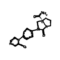 NC(=O)[C@]12[CH]CCN1C(=O)N(c1ccc(-n3ccncc3=O)cc1)C2